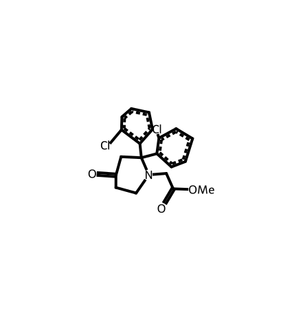 COC(=O)CN1CCC(=O)CC1(c1ccccc1Cl)c1ccccc1Cl